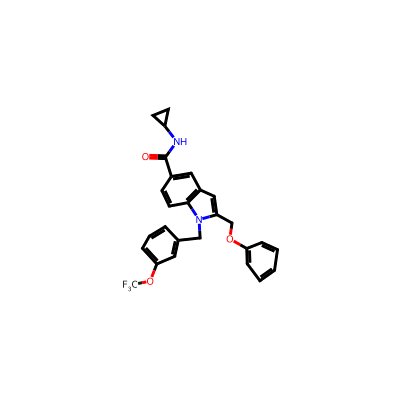 O=C(NC1CC1)c1ccc2c(c1)cc(COc1ccccc1)n2Cc1cccc(OC(F)(F)F)c1